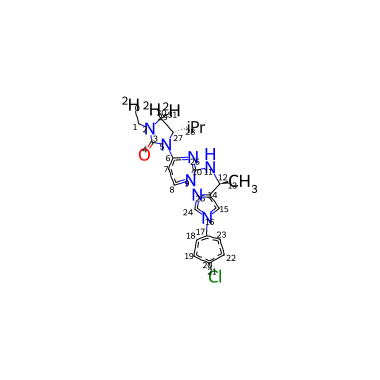 [2H]CN1C(=O)N(c2ccnc(N[C@@H](C)c3cn(-c4ccc(Cl)cc4)cn3)n2)[C@@H](C(C)C)C1([2H])[2H]